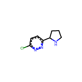 Clc1ccc(C2CCCN2)nn1